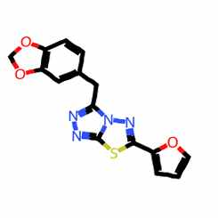 c1coc(-c2nn3c(Cc4ccc5c(c4)OCO5)nnc3s2)c1